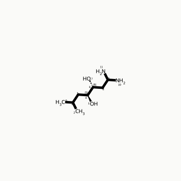 CC(C)C[C@H](O)[C@H](O)CC(N)N